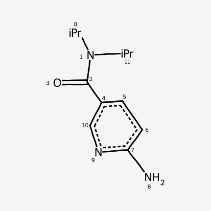 CC(C)N(C(=O)c1ccc(N)nc1)C(C)C